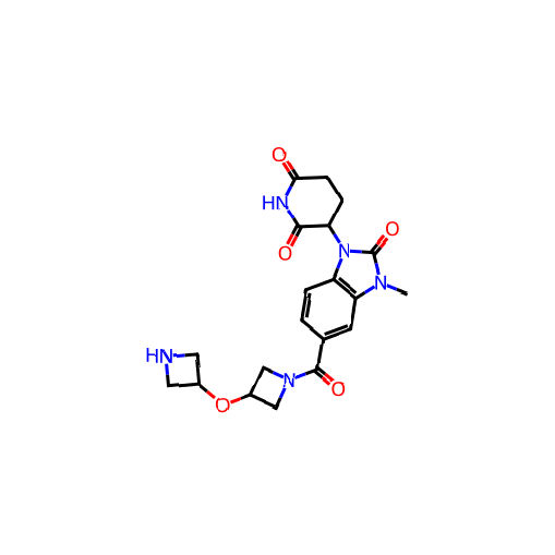 Cn1c(=O)n(C2CCC(=O)NC2=O)c2ccc(C(=O)N3CC(OC4CNC4)C3)cc21